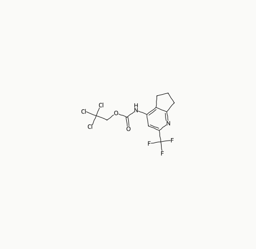 O=C(Nc1cc(C(F)(F)F)nc2c1CCC2)OCC(Cl)(Cl)Cl